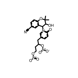 CC1(C)Oc2ccc(C#N)cc2C(n2cc(CC(CCO[N+](=O)[O-])O[N+](=O)[O-])ccc2=O)C1O